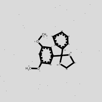 COc1cc(OC)cc(C2(c3ccccc3)SCCS2)c1